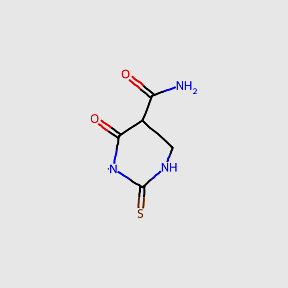 NC(=O)C1CNC(=S)[N]C1=O